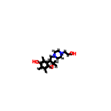 Cc1c(C)c2c(c(C)c1O)C(CN1CCN(CCO)CC1)C(C)(C)O2